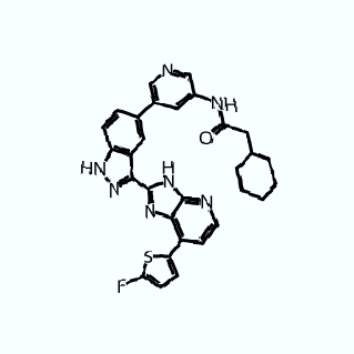 O=C(CC1CCCCC1)Nc1cncc(-c2ccc3[nH]nc(-c4nc5c(-c6ccc(F)s6)ccnc5[nH]4)c3c2)c1